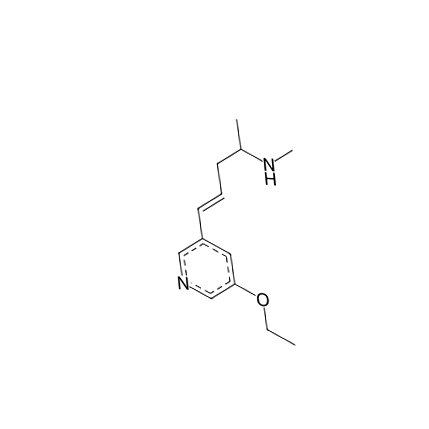 CCOc1cncc(/C=C/CC(C)NC)c1